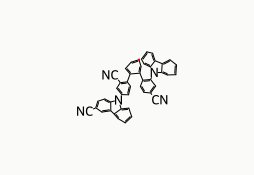 N#Cc1ccc(-c2ccccc2-c2ccc(-n3c4ccccc4c4cc(C#N)ccc43)cc2C#N)c(-n2c3ccccc3c3ccccc32)c1